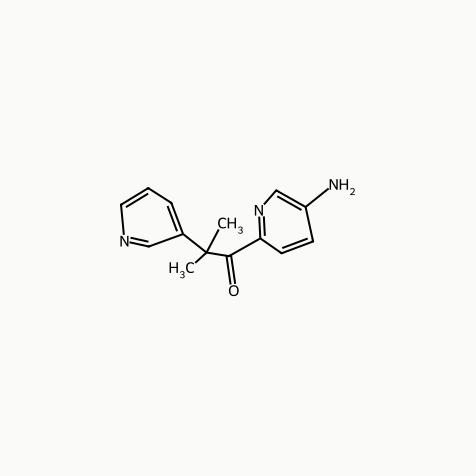 CC(C)(C(=O)c1ccc(N)cn1)c1cccnc1